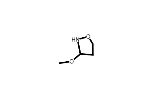 COC1C[CH]ON1